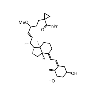 C=C1/C(=C\C=C2/CCC[C@]3(C)[C@@H]([C@H](C)/C=C/[C@H](CCC4(C(=O)CCC)CC4)OC)CC[C@@H]23)C[C@@H](O)C[C@@H]1O